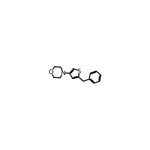 c1ccc(Cc2cc(N3CCOCC3)cs2)cc1